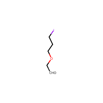 O=CCOCCCI